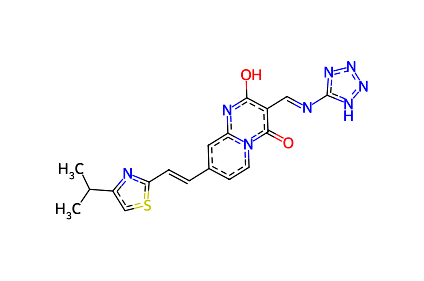 CC(C)c1csc(C=Cc2ccn3c(=O)c(C=Nc4nnn[nH]4)c(O)nc3c2)n1